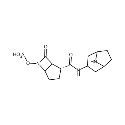 O=C(NC1CC2CCC(C1)N2)[C@@H]1CCC2C1C(=O)N2OS(=O)(=O)O